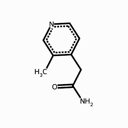 Cc1cnccc1CC(N)=O